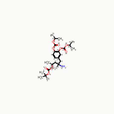 CCC(C)(C)OC(=O)O[C@@H](C)CC(N)(Cc1ccc(OC(=O)OC(C)C(C)C)c(OC(=O)OC(C)C(C)C)c1)C(=O)O